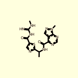 CNC(=N)NC(=O)c1cnc(C(C)NC(=O)c2ncnc3c2cnn3C)s1